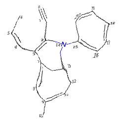 C#CC1=C(/C=C\C)C2=CC(C)=CCC2N1c1ccccc1